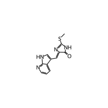 CSC1=NC(=Cc2c[nH]c3ncccc23)C(=O)N1